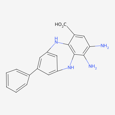 Nc1cc(C(=O)O)c2c(c1N)Nc1cc(cc(-c3ccccc3)c1)N2